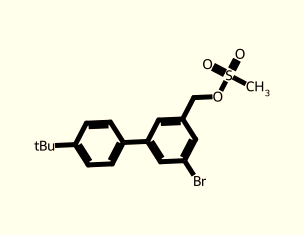 CC(C)(C)c1ccc(-c2cc(Br)cc(COS(C)(=O)=O)c2)cc1